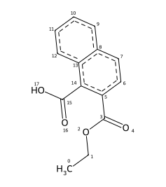 CCOC(=O)c1ccc2ccccc2c1C(=O)O